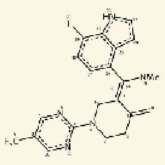 C=C1CCN(c2ncc(C(F)(F)F)cn2)C/C1=C(/NC)c1ccc(F)c2[nH]ccc12